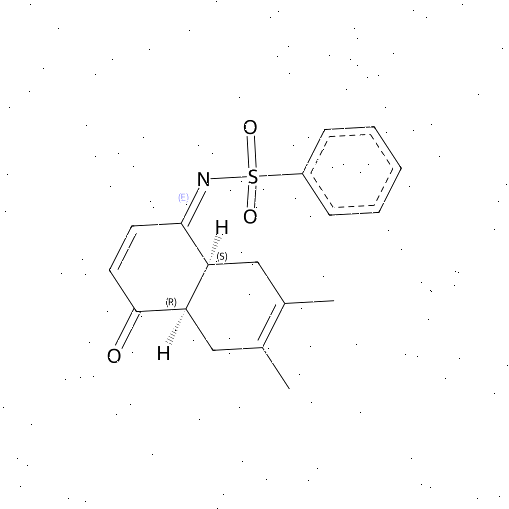 CC1=C(C)C[C@H]2C(=O)C=C/C(=N/S(=O)(=O)c3ccccc3)[C@H]2C1